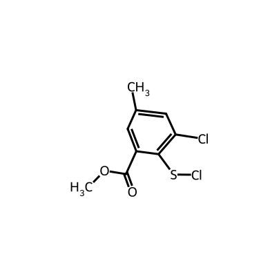 COC(=O)c1cc(C)cc(Cl)c1SCl